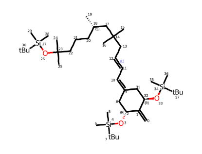 C=C1[C@H](O[Si](C)(C)C(C)(C)C)CC(=C/C=C/CC(C)(C)C[C@@H](C)CCCC(C)(C)O[Si](C)(C)C(C)(C)C)C[C@H]1O[Si](C)(C)C(C)(C)C